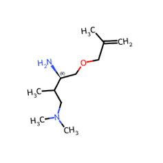 C=C(C)COC[C@H](N)C(C)CN(C)C